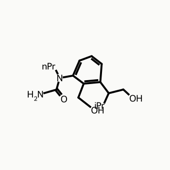 [CH2]CCN(C(N)=O)c1cccc(C(CO)C(C)C)c1CO